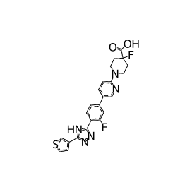 O=C(O)C1(F)CCN(c2ccc(-c3ccc(-c4nnc(-c5ccsc5)[nH]4)c(F)c3)cn2)CC1